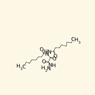 CCCCCCCC(=O)NN(C(=O)CCCCCCC)C(=O)C(=O)NN